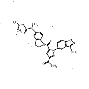 CN(C)CC(=O)N(C)c1ccc2c(c1)CCN2C(=O)c1cc(C(N)=O)nn1-c1ccc2onc(N)c2c1